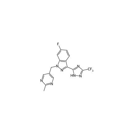 Cc1ncc(Cn2nc(-c3nc(C(F)(F)F)n[nH]3)c3ccc(F)cc32)cn1